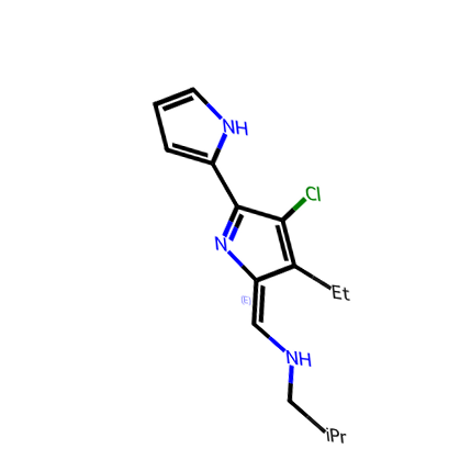 CCC1=C(Cl)C(c2ccc[nH]2)=N/C1=C/NCC(C)C